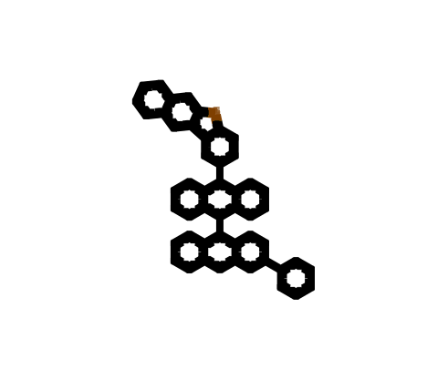 c1ccc(-c2ccc3c(-c4c5ccccc5c(-c5ccc6sc7cc8ccccc8cc7c6c5)c5ccccc45)c4ccccc4cc3c2)cc1